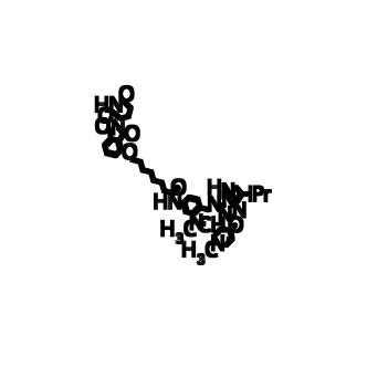 CC(C)c1cnn2c(NCc3ccc(NC(=O)CCCCCCCOc4cccc5c4C(=O)N(C4CCC(=O)NC4=O)C5=O)cc3N(C)C)nc(OC3CCN(C)CC3)nc12